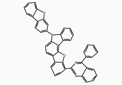 c1ccc(-c2nc(-c3cccc4c3oc3c4ccc4c3c3ccccc3n4-c3ccc4c(c3)oc3ccccc34)nc3ccccc23)cc1